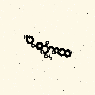 CC1CN(CC(O)CN2CCc3ccccc3C2)C(=O)c2ccc(OC3CCNCC3)cc2O1